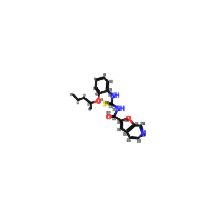 CCCC(C)Oc1ccccc1NC(=S)NC(=O)c1cc2ccncc2o1